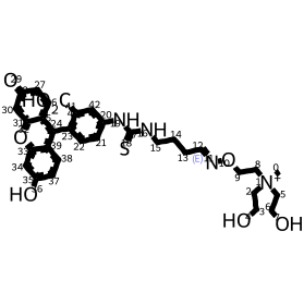 C[N+](CCO)(CCO)CCO/N=C/CCCNC(=S)Nc1ccc(-c2c3ccc(=O)cc-3oc3cc(O)ccc23)c(C(=O)O)c1